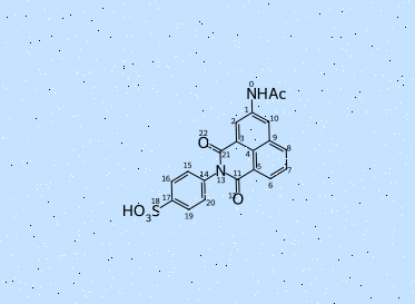 CC(=O)Nc1cc2c3c(cccc3c1)C(=O)N(c1ccc(S(=O)(=O)O)cc1)C2=O